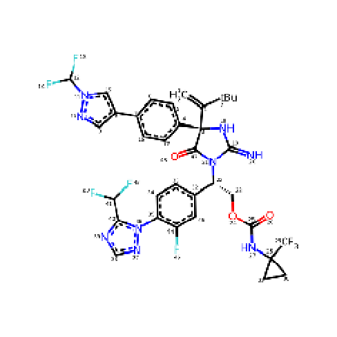 C=C(C(C)(C)C)[C@]1(c2ccc(-c3cnn(C(F)F)c3)cc2)NC(=N)N([C@H](COC(=O)NC2(C(F)(F)F)CC2)c2ccc(-n3ncnc3C(F)F)c(F)c2)C1=O